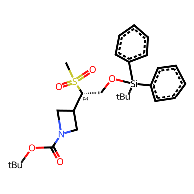 CC(C)(C)OC(=O)N1CC([C@@H](CO[Si](c2ccccc2)(c2ccccc2)C(C)(C)C)S(C)(=O)=O)C1